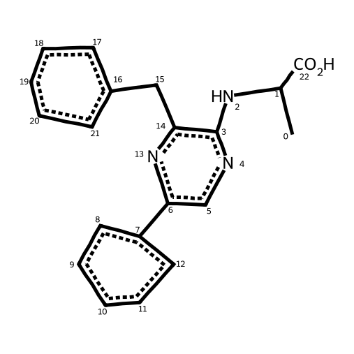 CC(Nc1ncc(-c2ccccc2)nc1Cc1ccccc1)C(=O)O